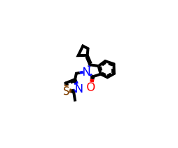 Cc1nc(CN2C(=O)c3ccccc3C2=C2CCC2)cs1